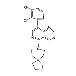 Clc1cccc(-c2cnc(N3CCC4(CCCC4)CC3)c3cncnc23)c1Cl